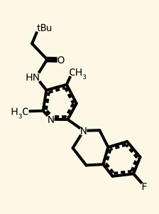 Cc1cc(N2CCc3cc(F)ccc3C2)nc(C)c1NC(=O)CC(C)(C)C